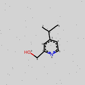 CC(C)c1ccnc(CO)c1